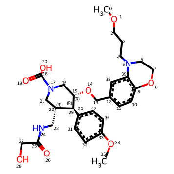 COCCCN1CCOc2ccc(CO[C@H]3CN(C(=O)O)C[C@@H](CNC(=O)CO)[C@@H]3c3ccc(OC)cc3)cc21